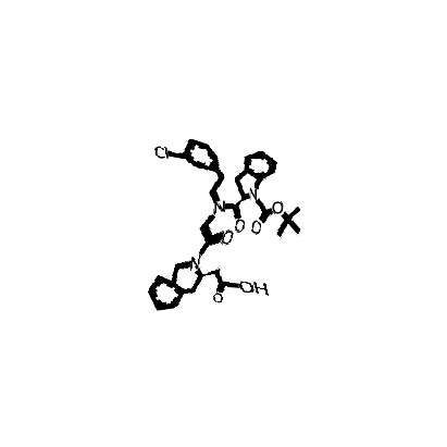 CC(C)(C)OC(=O)N1c2ccccc2C[C@@H]1C(=O)N(CCc1cccc(Cl)c1)CC(=O)N1Cc2ccccc2C[C@@H]1CC(=O)O